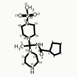 CC(NC(=O)C1CCCC1)(N1CCNCC1)N1CCN(S(C)(=O)=O)CC1